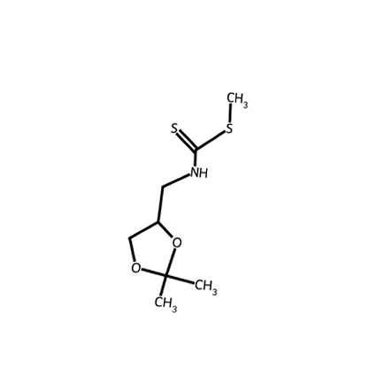 CSC(=S)NCC1COC(C)(C)O1